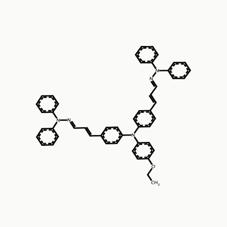 CCOc1ccc(N(c2ccc(/C=C/C=N/N(c3ccccc3)c3ccccc3)cc2)c2ccc(/C=C/C=N/N(c3ccccc3)c3ccccc3)cc2)cc1